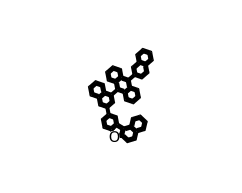 c1ccc2cc(-c3c4ccccc4c(-c4cc(-c5ccc6oc7ccc8ccccc8c7c6c5)cc5ccccc45)c4ccccc34)ccc2c1